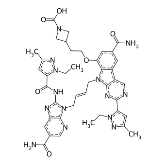 CCn1nc(C)cc1C(=O)Nc1nc2cc(C(N)=O)cnc2n1C/C=C/Cn1c2nc(-c3cc(C)nn3CC)ncc2c2cc(C(N)=O)cc(OCCC3CN(C(=O)O)C3)c21